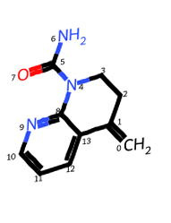 C=C1CCN(C(N)=O)c2ncccc21